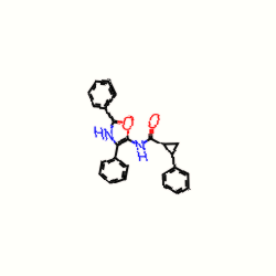 O=C(NC1=C(c2ccccc2)NC(c2ccccc2)O1)C1CC1c1ccccc1